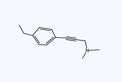 CCc1ccc(C#CCN(C)C)cc1